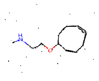 CNCCOC1CC/C=C\CCC1